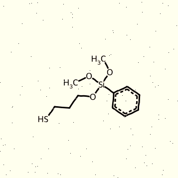 CO[Si](OC)(OCCCS)c1ccccc1